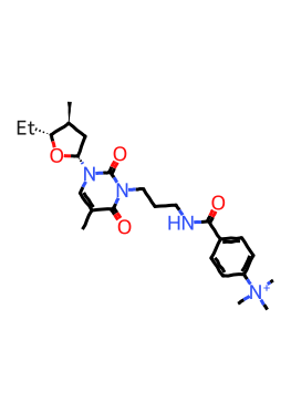 CC[C@H]1O[C@@H](n2cc(C)c(=O)n(CCCNC(=O)c3ccc([N+](C)(C)C)cc3)c2=O)C[C@@H]1C